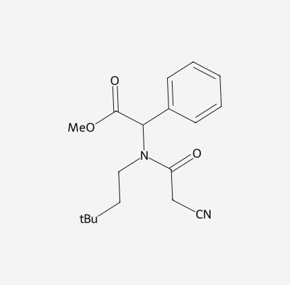 COC(=O)C(c1ccccc1)N(CCC(C)(C)C)C(=O)CC#N